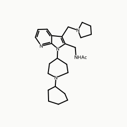 CC(=O)NCc1c(CN2CCCC2)c2cccnc2n1C1CCN(C2CCCCC2)CC1